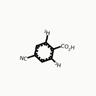 [2H]c1cc(C#N)cc([2H])c1C(=O)O